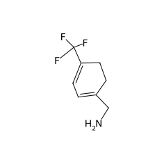 NCC1=CC=C(C(F)(F)F)CC1